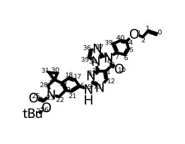 C=CCOc1ccc(-n2c(=O)c3cnc(Nc4ccc5c(c4)CN(C(=O)OC(C)(C)C)CC54CC4)nc3n3ccnc23)cc1